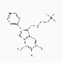 C[Si](C)(C)CCOCn1c(-c2ccncc2)nc2c(O)c(Cl)c(Cl)cc21